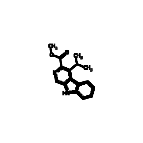 COC(=O)c1ncc2[nH]c3ccccc3c2c1C(C)C